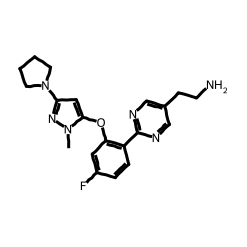 Cn1nc(N2CCCC2)cc1Oc1cc(F)ccc1-c1ncc(CCN)cn1